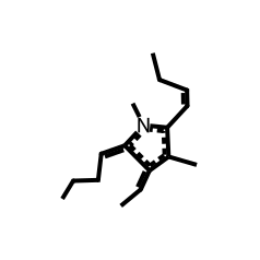 C/C=c1/c(C)c(/C=C\CC)n(C)/c1=C/CCC